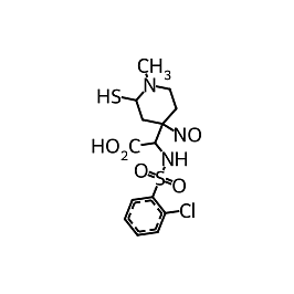 CN1CCC(N=O)(C(NS(=O)(=O)c2ccccc2Cl)C(=O)O)CC1S